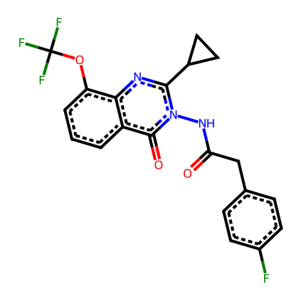 O=C(Cc1ccc(F)cc1)Nn1c(C2CC2)nc2c(OC(F)(F)F)cccc2c1=O